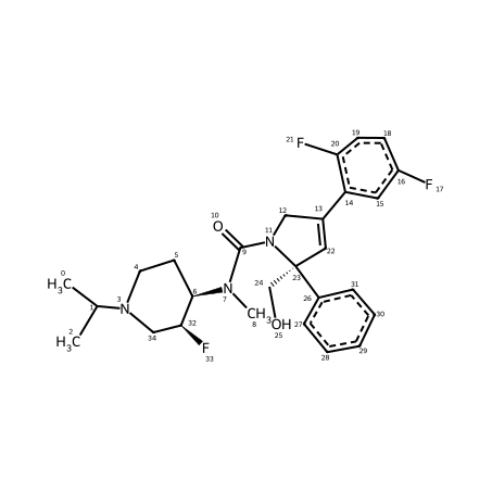 CC(C)N1CC[C@@H](N(C)C(=O)N2CC(c3cc(F)ccc3F)=C[C@@]2(CO)c2ccccc2)[C@@H](F)C1